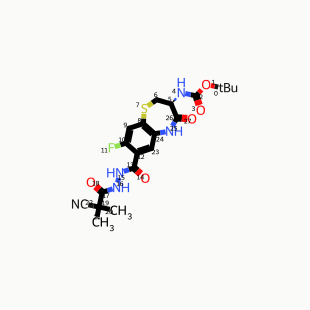 CC(C)(C)OC(=O)N[C@H]1CSc2cc(F)c(C(=O)NNC(=O)C(C)(C)C#N)cc2NC1=O